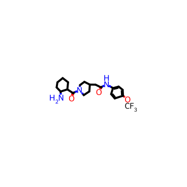 NC1CCCCC1C(=O)N1CCC(CC(=O)Nc2ccc(OC(F)(F)F)cc2)CC1